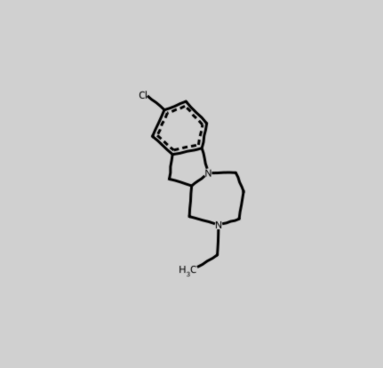 CCN1CCCN2c3ccc(Cl)cc3CC2C1